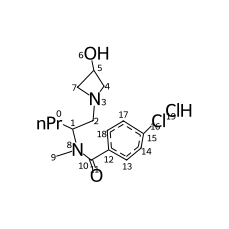 CCCC(CN1CC(O)C1)N(C)C(=O)c1ccc(Cl)cc1.Cl